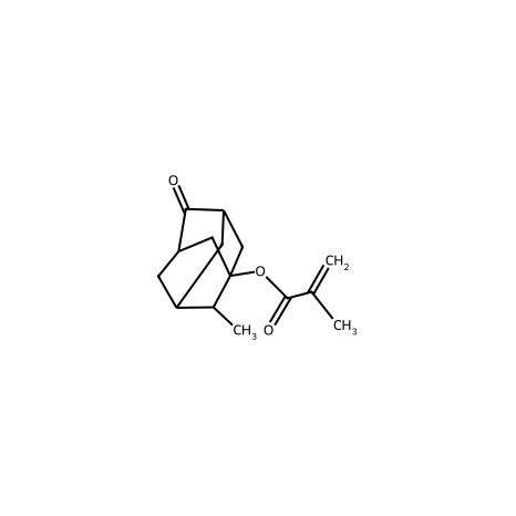 C=C(C)C(=O)OC12CC3CC(CC(C1)C3=O)C2C